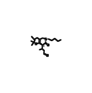 CCCCCN(CCCCC)C(=O)[C@H](NOC(C)(C)C)C(C)CC=O